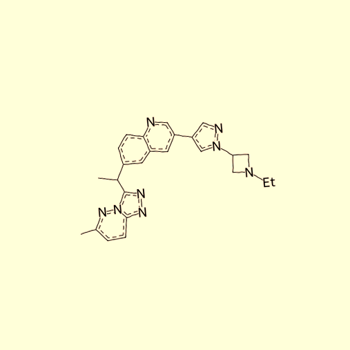 CCN1CC(n2cc(-c3cnc4ccc(C(C)c5nnc6ccc(C)nn56)cc4c3)cn2)C1